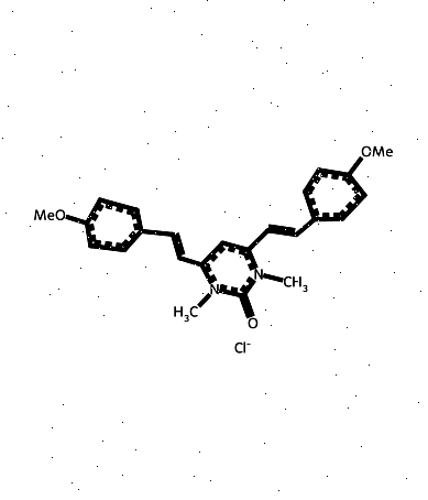 COc1ccc(C=Cc2cc(C=Cc3ccc(OC)cc3)[n+](C)c(=O)n2C)cc1.[Cl-]